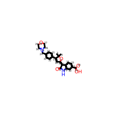 CC1(C)O/C(=C2/C(=O)Nc3cc(C(=O)O)ccc32)C=C1c1ccc(CN2CCOCC2)cc1